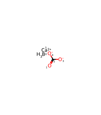 B.O=C([O-])[O-].[Ca+2]